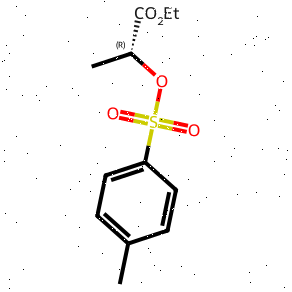 CCOC(=O)[C@@H](C)OS(=O)(=O)c1ccc(C)cc1